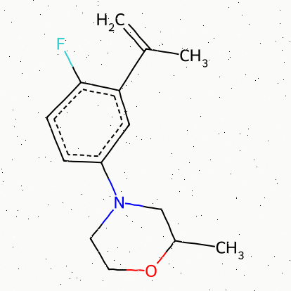 C=C(C)c1cc(N2CCOC(C)C2)ccc1F